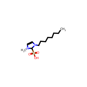 CCCCCCCCN1C=CN(C)C1S(=O)(=O)O